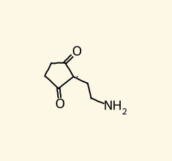 NCC[C]1C(=O)CCC1=O